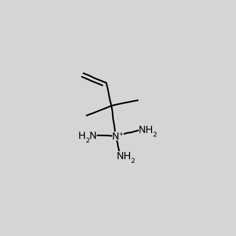 C=CC(C)(C)[N+](N)(N)N